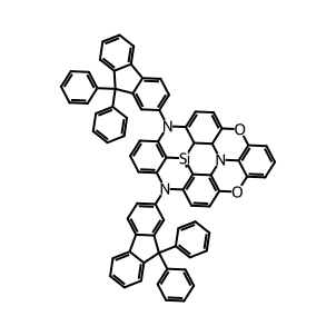 C[Si]12c3c4cccc3N(c3ccc5c(c3)C(c3ccccc3)(c3ccccc3)c3ccccc3-5)c3ccc5c(c31)N1c3c(cccc3O5)OC3=CC=C(C2C31)N4c1ccc2c(c1)C(c1ccccc1)(c1ccccc1)c1ccccc1-2